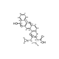 CC(C)[C@@H](C(=O)O)N(Cc1ccc2nc(-c3ccccc3C(=O)O)ccc2c1)C(=O)CC1CC1